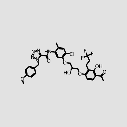 COc1ccc(Cn2nnnc2C(=O)Nc2cc(OCC(O)COc3ccc(C(C)=O)c(O)c3CCC(F)(F)F)c(Cl)cc2C)cc1